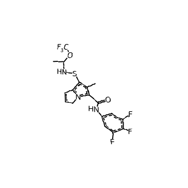 Cc1c(SNC(C)OC(F)(F)F)c2n(c1C(=O)Nc1cc(F)c(F)c(F)c1)CC=C2